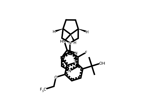 CC(C)(O)c1ccc(OCC(F)(F)F)c2nc(N[C@H]3[C@@H]4CC[C@H]3CN(c3ccncc3F)C4)nn12